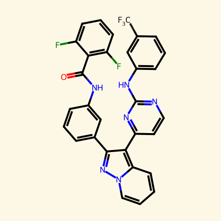 O=C(Nc1cccc(-c2nn3ccccc3c2-c2ccnc(Nc3cccc(C(F)(F)F)c3)n2)c1)c1c(F)cccc1F